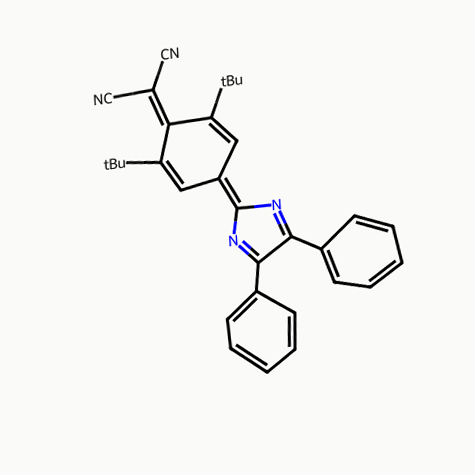 CC(C)(C)c1cc(=C2N=C(c3ccccc3)C(c3ccccc3)=N2)cc(C(C)(C)C)c1=C(C#N)C#N